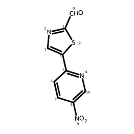 O=Cc1ncc(-c2ccc([N+](=O)[O-])cn2)s1